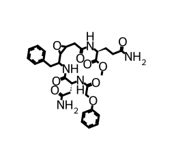 COC(=O)[C@H](CCC(N)=O)NC(=O)CC1OC1C(Cc1ccccc1)NC(=O)[C@@H](CC(N)=O)NC(=O)COc1ccccc1